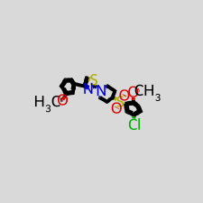 COc1cccc(-c2csc(N3CCC(S(=O)(=O)c4cc(Cl)ccc4OC)CC3)n2)c1